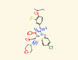 CC(C)Oc1ccc(Nc2nc(=O)c(C(=O)NC3CCOCC3)cn2Cc2ccc(Cl)cc2)cc1F